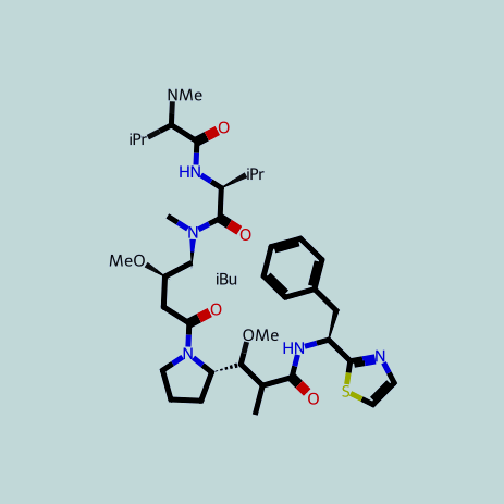 CC[C@H](C)[C@@H]([C@@H](CC(=O)N1CCC[C@H]1C(OC)C(C)C(=O)N[C@@H](Cc1ccccc1)c1nccs1)OC)N(C)C(=O)[C@@H](NC(=O)C(NC)C(C)C)C(C)C